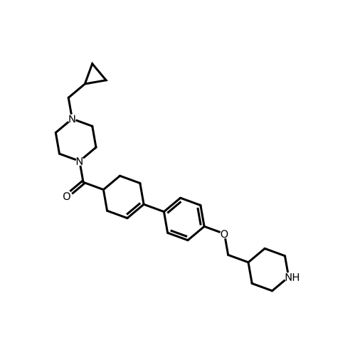 O=C(C1CC=C(c2ccc(OCC3CCNCC3)cc2)CC1)N1CCN(CC2CC2)CC1